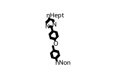 CCCCCCCCCc1ccc(COc2ccc(-c3ncc(CCCCCCC)cn3)cc2)cc1